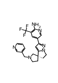 Nc1ncc(-c2cc3n(n2)CC[C@@]32CCN(Cc3cccnc3)C2)cc1C(F)(F)F